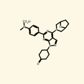 CN(C(=O)O)c1ccc(-c2nc(N3CC4CCC(C3)O4)c3cnn(C4CCC(=O)CC4)c3n2)cc1